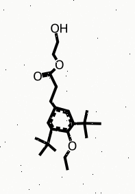 CCOc1c(C(C)(C)C)cc(CCC(=O)OCCO)cc1C(C)(C)C